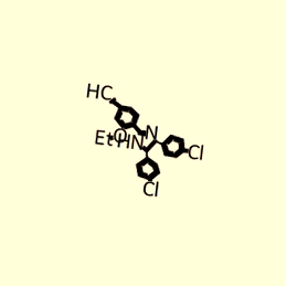 C#Cc1ccc(C2=N[C@@H](c3ccc(Cl)cc3)[C@@H](c3ccc(Cl)cc3)N2)c(OCC)c1